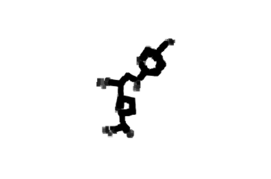 CC(C)c1ccc(NCC(C)c2ccc(C(N)=O)s2)nc1